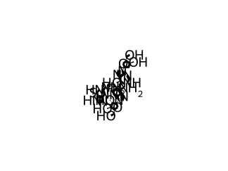 Nc1nc(F)nc2c1ncn2[C@@H]1O[C@H](CO)[C@@H](O)[C@@H]1O.Nc1nc2nc[nH]c2c(=S)[nH]1.OC[C@H]1O[C@@H](n2cnc3c2N=CNC[C@H]3O)C[C@@H]1O